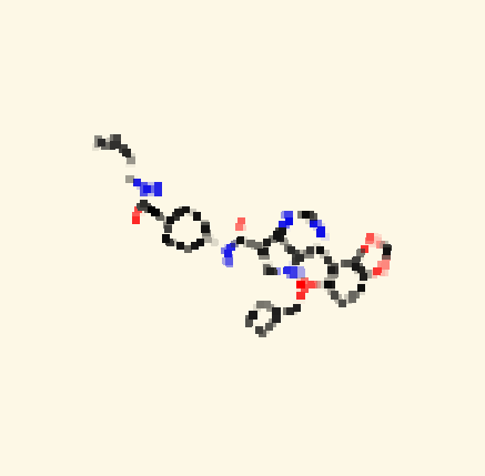 COCCNC(=O)[C@H]1CC[C@H](NC(=O)c2c[nH]c3c(-c4c(OCC5CCC5)ccc5c4OCO5)ncnc23)CC1